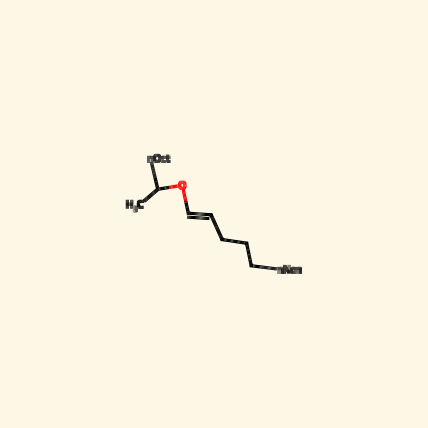 CCCCCCCCCCCCC=COC(C)CCCCCCCC